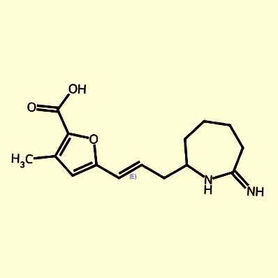 Cc1cc(/C=C/CC2CCCCC(=N)N2)oc1C(=O)O